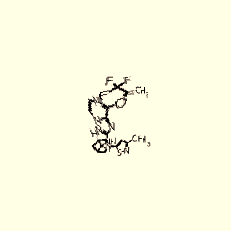 Cc1cc(N2CC3C[C@@H](C2)[C@@H]3Nc2nc3c(O[C@@H](C)C(F)(F)F)nccn3n2)sn1